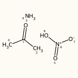 CC(C)=O.N.O=[N+]([O-])O